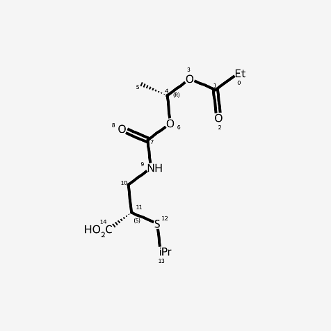 CCC(=O)O[C@@H](C)OC(=O)NC[C@H](SC(C)C)C(=O)O